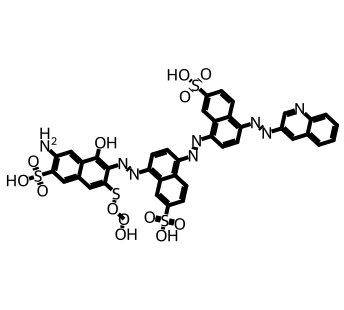 Nc1cc2c(O)c(/N=N/c3ccc(/N=N/c4ccc(/N=N/c5cnc6ccccc6c5)c5ccc(S(=O)(=O)O)cc45)c4ccc(S(=O)(=O)O)cc34)c(SOOO)cc2cc1S(=O)(=O)O